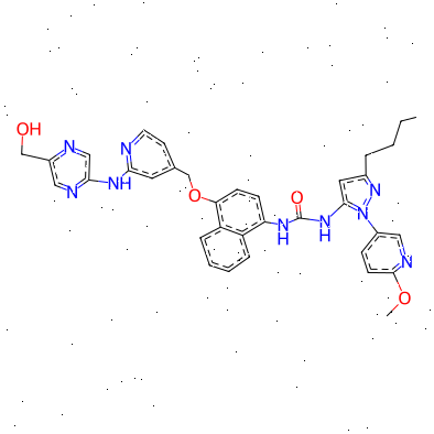 CCCCc1cc(NC(=O)Nc2ccc(OCc3ccnc(Nc4cnc(CO)cn4)c3)c3ccccc23)n(-c2ccc(OC)nc2)n1